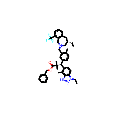 CC[C@H]1Cc2cccc(C(F)(F)F)c2CN(Cc2cc([C@@H](c3ccc4c(c3C)NNN4CC)C(C)(C)C(=O)OCc3ccccc3)ccc2C)C1